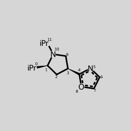 CC(C)[C@@H]1C[C@H](c2ncco2)CN1C(C)C